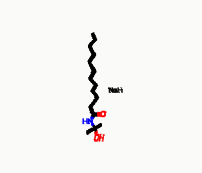 CCCCCCCCCCCC(=O)NC(C)(C)O.[NaH]